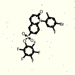 Cc1cc(Br)c(F)cc1-n1c(=O)ccc2cc(S(=O)(=O)Oc3c(F)c(F)c(F)c(F)c3F)ccc21